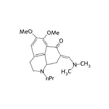 CCCN1CCc2cc(OC)c(OC)c3c2C1CC(=CN(C)C)C3=O